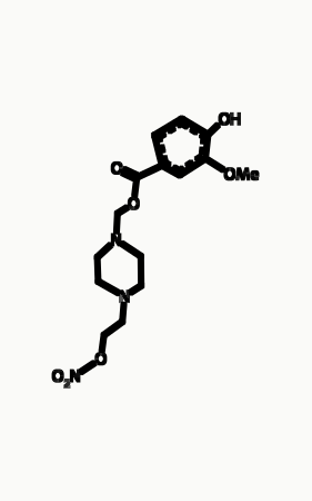 COc1cc(C(=O)OCN2CCN(CCO[N+](=O)[O-])CC2)ccc1O